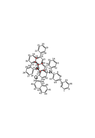 c1ccc(-c2ccc(N(c3cc(N(c4ccc(-c5ccccc5)cc4)c4ccccc4-c4ccccc4)c4oc5ccc6ccccc6c5c4c3)c3ccccc3-c3ccccc3)cc2)cc1